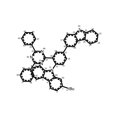 CC(C)(C)c1ccc2c3ccccc3n(-c3ccc(-c4ccc5sc6ccccc6c5c4)cc3-c3nc(-c4ccccc4)nc(-c4ccccc4)n3)c2c1